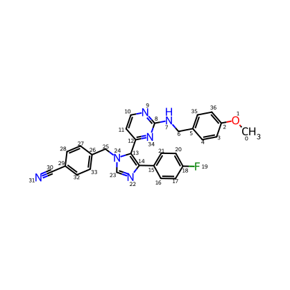 COc1ccc(CNc2nccc(-c3c(-c4ccc(F)cc4)ncn3Cc3ccc(C#N)cc3)n2)cc1